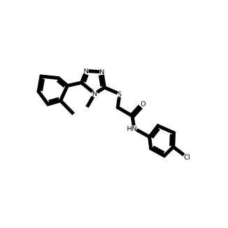 Cc1ccccc1-c1nnc(SCC(=O)Nc2ccc(Cl)cc2)n1C